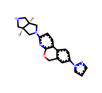 c1cnn(-c2ccc3c(c2)COc2nc(N4C[C@H]5CNC[C@H]5C4)ccc2-3)c1